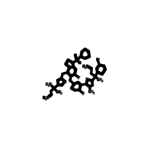 C=CCC(C)(C)c1cnn(Cc2c(Oc3ccc(F)c(-c4nc(C(C)(CC=C)c5cccc(Br)c5)nn4C)c3)c(F)cc3c2ccn3S(=O)(=O)c2ccccc2)c1